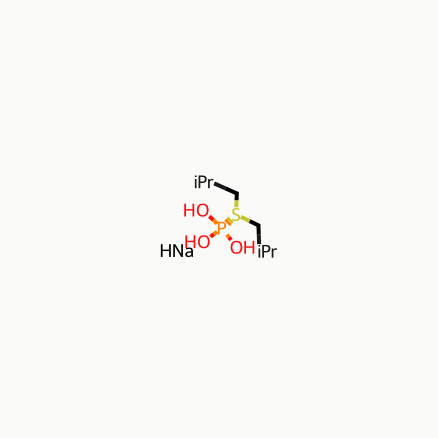 CC(C)CS(CC(C)C)=P(O)(O)O.[NaH]